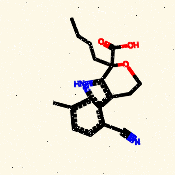 CCCCC1(C(=O)O)OCCc2c1[nH]c1c(C)ccc(C#N)c21